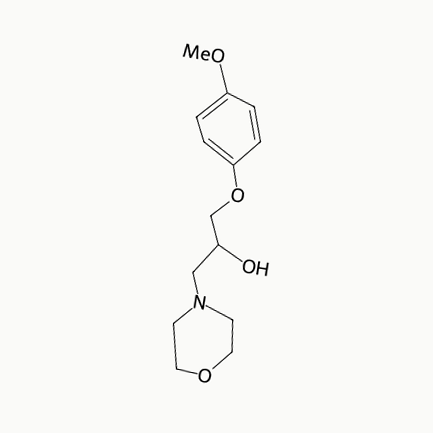 COc1ccc(OCC(O)CN2CCOCC2)cc1